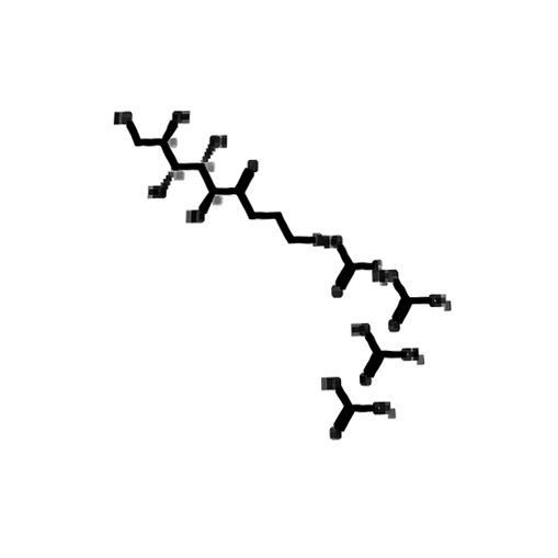 CC(=O)O.CC(=O)O.CC(=O)O.CC(=O)O.O=C(CCCBr)[C@@H](O)[C@@H](O)[C@H](O)[C@H](O)CO